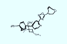 CC(C)c1ccc([C@](O)(c2ccnc(-c3noc(C4CCOCC4)n3)c2)C2(C)CN(C)C2)cc1